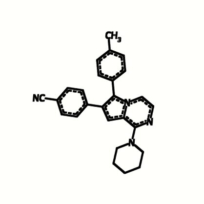 Cc1ccc(-c2c(-c3ccc(C#N)cc3)cc3c(N4CCCCC4)nccn23)cc1